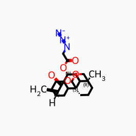 C=C1C(=O)C23CC[C@H]1CC2[C@@]12CCC[C@@](C)(COC1=O)C2C[C@H]3OC(=O)CN=[N+]=[N-]